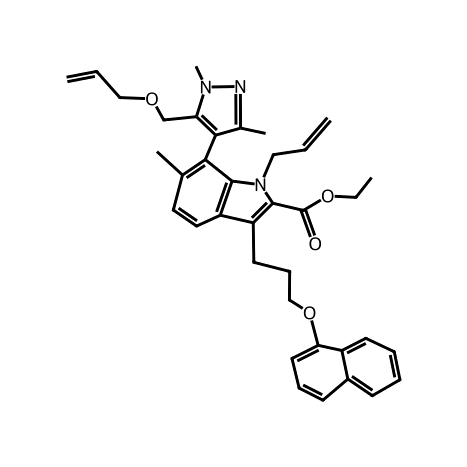 C=CCOCc1c(-c2c(C)ccc3c(CCCOc4cccc5ccccc45)c(C(=O)OCC)n(CC=C)c23)c(C)nn1C